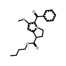 CCCCOC(=O)C1CCn2c1cc(SC)c2C(=O)c1ccccc1